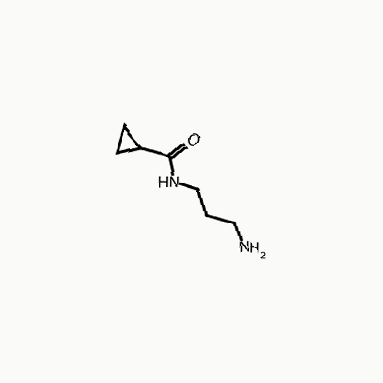 NCCCNC(=O)C1CC1